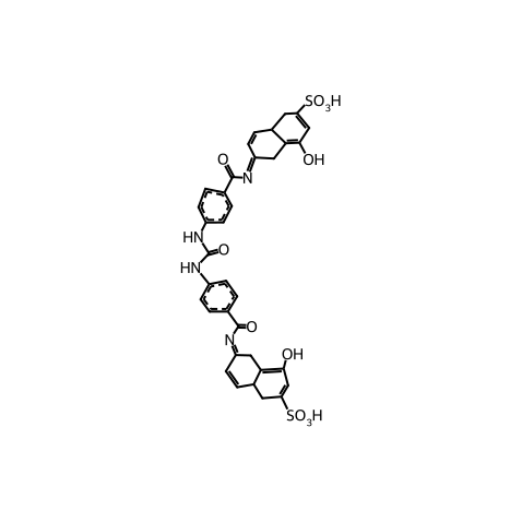 O=C(Nc1ccc(C(=O)N=C2C=CC3CC(S(=O)(=O)O)=CC(O)=C3C2)cc1)Nc1ccc(C(=O)N=C2C=CC3CC(S(=O)(=O)O)=CC(O)=C3C2)cc1